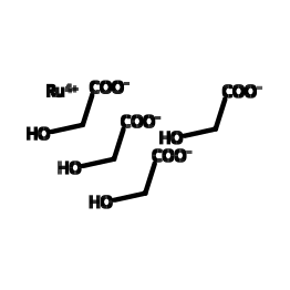 O=C([O-])CO.O=C([O-])CO.O=C([O-])CO.O=C([O-])CO.[Ru+4]